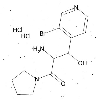 Cl.Cl.NC(C(=O)N1CCCC1)C(O)c1ccncc1Br